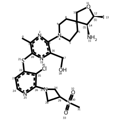 Cc1nc(N2CCC3(CC2)CO[C@@H](I)[C@H]3N)c(CO)nc1Sc1ccnc(N2CC(S(C)(=O)=O)C2)c1Cl